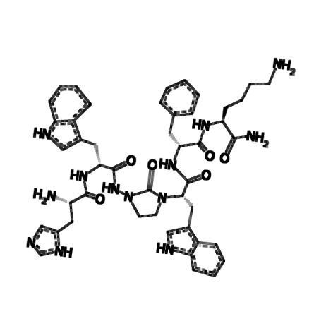 NCCCC[C@H](NC(=O)[C@@H](Cc1ccccc1)NC(=O)[C@H](Cc1c[nH]c2ccccc12)N1CCN(NC(=O)[C@@H](Cc2c[nH]c3ccccc23)NC(=O)[C@@H](N)Cc2cnc[nH]2)C1=O)C(N)=O